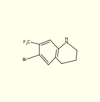 FC(F)(F)c1cc2c(cc1Br)CCCN2